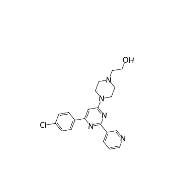 OCCN1CCN(c2cc(-c3ccc(Cl)cc3)nc(-c3cccnc3)n2)CC1